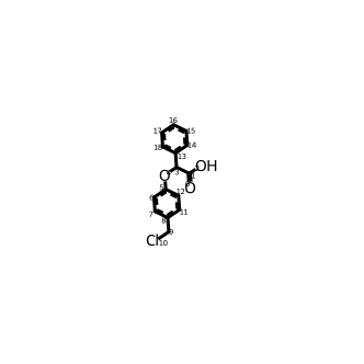 O=C(O)C(Oc1ccc(CCl)cc1)c1ccccc1